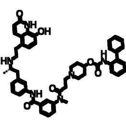 C[C@@H](Cc1cccc(NC(=O)c2cccc(N(C)C(=O)CCN3CCC(OC(=O)Nc4ccccc4-c4ccccc4)CC3)c2)c1)NCCc1ccc(O)c2[nH]c(=O)ccc12